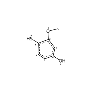 COc1cc(O)ccc1S